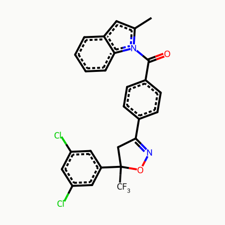 Cc1cc2ccccc2n1C(=O)c1ccc(C2=NOC(c3cc(Cl)cc(Cl)c3)(C(F)(F)F)C2)cc1